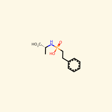 C[C@@H](NP(=O)(O)CCc1ccccc1)C(=O)O